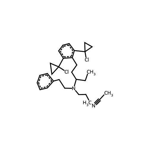 CC#N.CCCN(CCc1ccccc1)C(CC)CCc1c(C2(Cl)CC2)cccc1C1(Cl)CC1